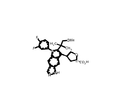 COCC(C)(C)c1c(C2CO[C@H](C(=O)O)C2)c2cc3[nH]ncc3cc2n1-c1ccc(F)c(F)c1